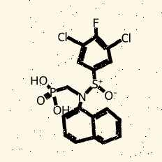 O=P(O)(O)CN(c1cccc2ccccc12)[S+]([O-])c1cc(Cl)c(F)c(Cl)c1